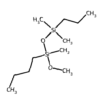 CCCC[Si](C)(OC)O[Si](C)(C)CCC